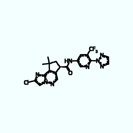 CC1(C)C[C@@H](C(=O)Nc2cnc(-n3nccn3)c(C(F)(F)F)c2)c2cnn3cc(Cl)nc3c21